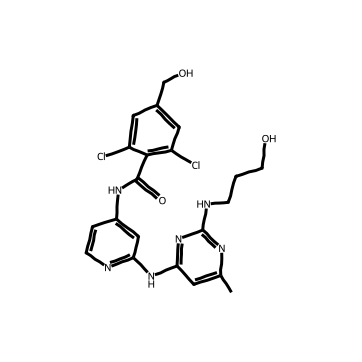 Cc1cc(Nc2cc(NC(=O)c3c(Cl)cc(CO)cc3Cl)ccn2)nc(NCCCO)n1